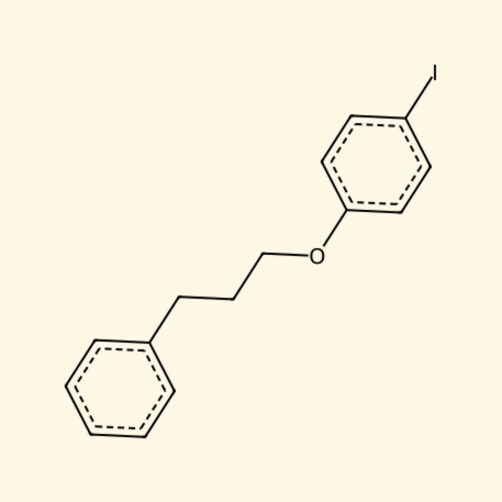 Ic1ccc(OCCCc2ccccc2)cc1